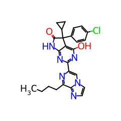 CCCCc1nc(-c2nc(O)c3c(n2)NC(=O)C3(c2ccc(Cl)cc2)C2CC2)cn2ccnc12